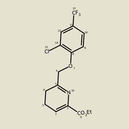 CCOC(=O)C1=CCCC(COc2ccc(C(F)(F)F)cc2Cl)=N1